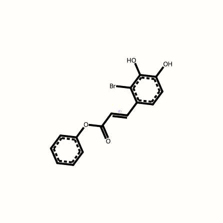 O=C(/C=C/c1ccc(O)c(O)c1Br)Oc1ccccc1